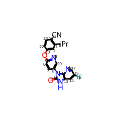 CC(C)c1cc(Oc2ccc(-n3c(=O)[nH]c4cc(F)cnc43)cn2)ccc1C#N